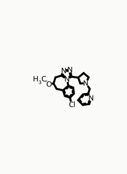 COC1Cc2cc(Cl)ccc2-n2c(nnc2C2CCN(Cc3ccccn3)C2)C1